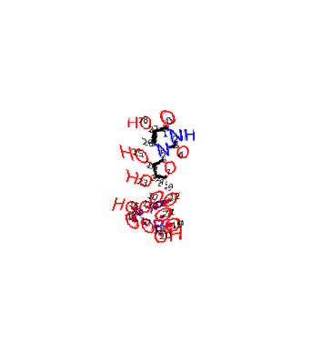 O=c1[nH]c(=O)n([C@@H]2O[C@H](COP3(=O)OP(=O)(O)OP(=O)(O)O3)[C@H](O)[C@@H]2O)cc1O